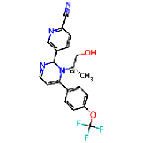 C[C@@H](CO)N1C(c2ccc(OC(F)(F)F)cc2)=CC=NC1c1ccc(C#N)nc1